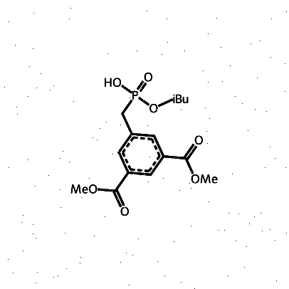 CCC(C)OP(=O)(O)Cc1cc(C(=O)OC)cc(C(=O)OC)c1